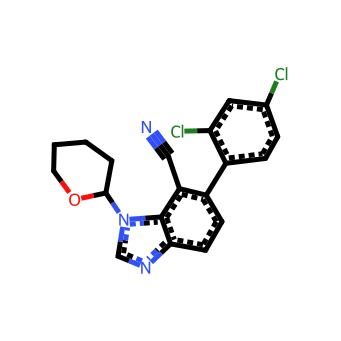 N#Cc1c(-c2ccc(Cl)cc2Cl)ccc2ncn(C3CCCCO3)c12